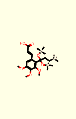 COc1cc(C=CC(=O)O)c(C(CC[SiH2]C)(O[Si](C)(C)C)O[Si](C)(C)C)c(OC)c1OC